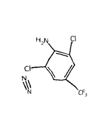 N#N.Nc1c(Cl)cc(C(F)(F)F)cc1Cl